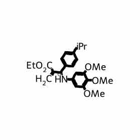 C=C(C(=O)OCC)[C@@H](Nc1cc(OC)c(OC)c(OC)c1)c1ccc(C(C)C)cc1